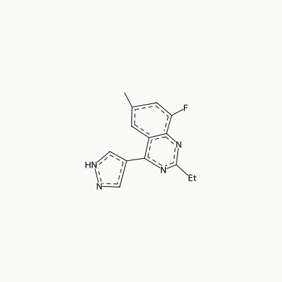 CCc1nc(-c2cn[nH]c2)c2cc(C)cc(F)c2n1